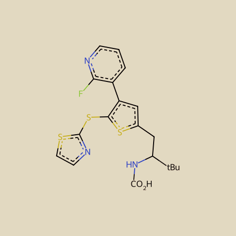 CC(C)(C)C(Cc1cc(-c2cccnc2F)c(Sc2nccs2)s1)NC(=O)O